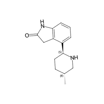 C[C@@H]1CC[C@@H](c2cccc3c2CC(=O)N3)NC1